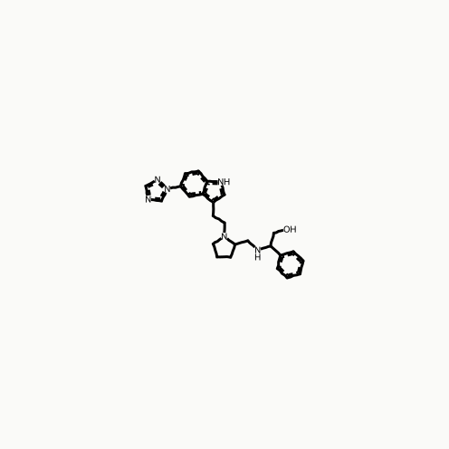 OCC(NCC1CCCN1CCc1c[nH]c2ccc(-n3cncn3)cc12)c1ccccc1